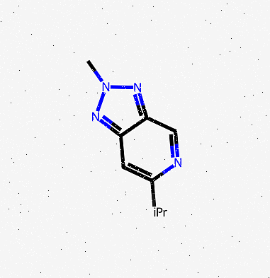 CC(C)c1cc2nn(C)nc2cn1